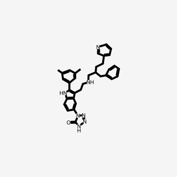 Cc1cc(C)cc(-c2[nH]c3ccc(-n4nn[nH]c4=O)cc3c2CCNCC(CCc2cccnc2)Cc2ccccc2)c1